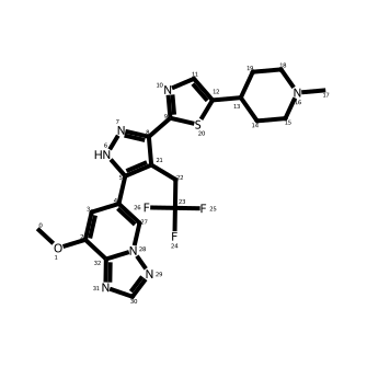 COc1cc(-c2[nH]nc(-c3ncc(C4CCN(C)CC4)s3)c2CC(F)(F)F)cn2ncnc12